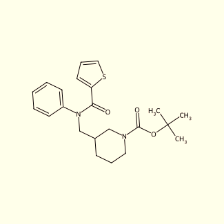 CC(C)(C)OC(=O)N1CCCC(CN(C(=O)c2cccs2)c2ccccc2)C1